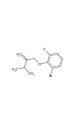 C=C(COc1c(F)cccc1Br)C(C)C